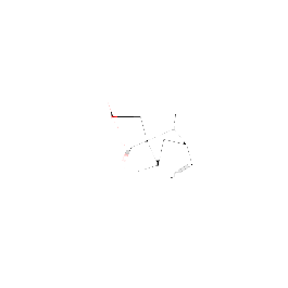 CC1C2C=CC(C)(C2)C1(CC(=O)O)C(=O)O